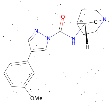 COc1cccc(-c2cnn(C(=O)N[C@H]3CN4CCC3CC4)c2)c1